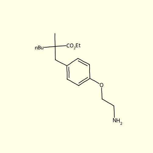 CCCCC(C)(Cc1ccc(OCCN)cc1)C(=O)OCC